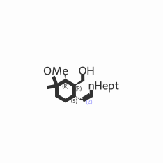 CCCCCCC/C=C\[C@@H]1CCC(C)(C)[C@H](OC)[C@H]1CO